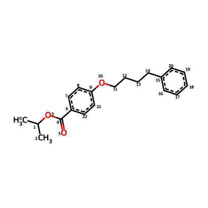 CC(C)OC(=O)c1ccc(OCCCCc2ccccc2)cc1